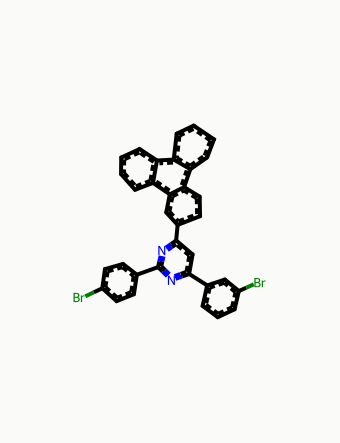 Brc1ccc(-c2nc(-c3cccc(Br)c3)cc(-c3ccc4c5ccccc5c5ccccc5c4c3)n2)cc1